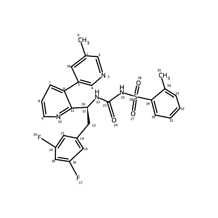 Cc1cncc(-c2cccnc2[C@H](Cc2cc(F)cc(F)c2)NC(=O)NS(=O)(=O)c2ccccc2C)c1